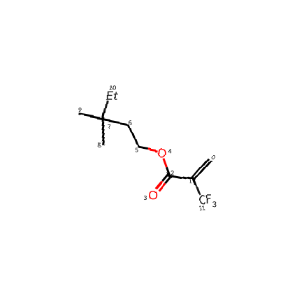 C=C(C(=O)OCCC(C)(C)CC)C(F)(F)F